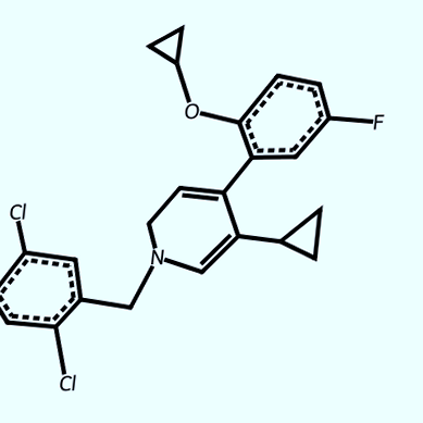 Fc1ccc(OC2CC2)c(C2=CCN(Cc3cc(Cl)ccc3Cl)C=C2C2CC2)c1